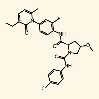 CCc1ccc(C)n(-c2ccc(NC(=O)[C@H]3C[C@@H](OC)CN3C(=O)Nc3ccc(Cl)cc3)c(F)c2)c1=O